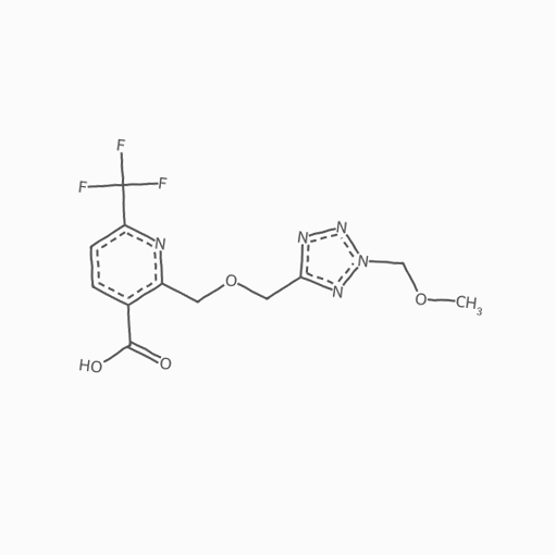 COCn1nnc(COCc2nc(C(F)(F)F)ccc2C(=O)O)n1